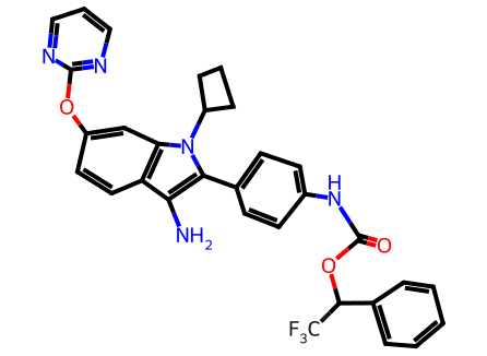 Nc1c(-c2ccc(NC(=O)OC(c3ccccc3)C(F)(F)F)cc2)n(C2CCC2)c2cc(Oc3ncccn3)ccc12